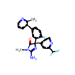 Cc1ncccc1-c1ccc(F)c(C2(c3ccnc(C(F)F)c3)N=C(N)N(C)C2=O)c1